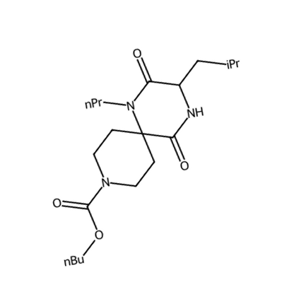 CCCCOC(=O)N1CCC2(CC1)C(=O)NC(CC(C)C)C(=O)N2CCC